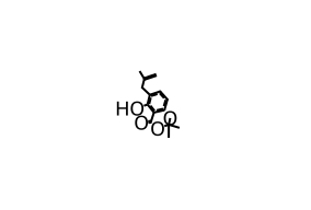 C=C(C)Cc1ccc2c(c1O)C(=O)OC(C)(C)O2